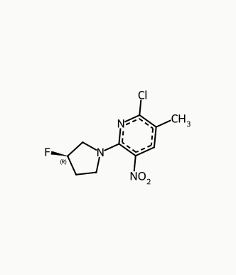 Cc1cc([N+](=O)[O-])c(N2CC[C@@H](F)C2)nc1Cl